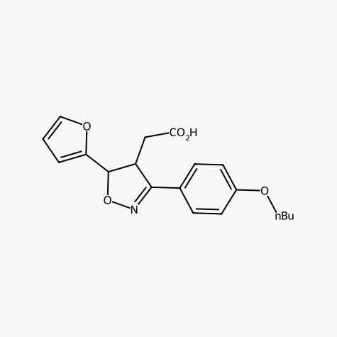 CCCCOc1ccc(C2=NOC(c3ccco3)C2CC(=O)O)cc1